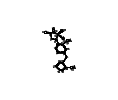 O=C1CN(c2ccc(Cc3ccccc3O)cc2O)S(=O)(=O)N1